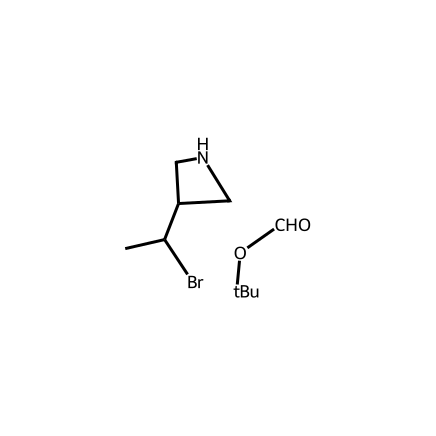 CC(Br)C1CNC1.CC(C)(C)OC=O